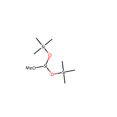 CO[Si](O[Si](C)(C)C)O[Si](C)(C)C